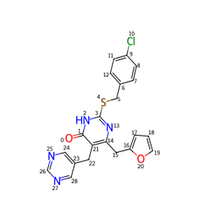 O=c1[nH]c(SCc2ccc(Cl)cc2)nc(Cc2ccco2)c1Cc1cncnc1